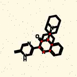 C=C1C=NC(c2nc3ccccc3n(C3CC4CCCC(C3)N4C3CC4CCCC(C4)C3)c2=O)=CN1